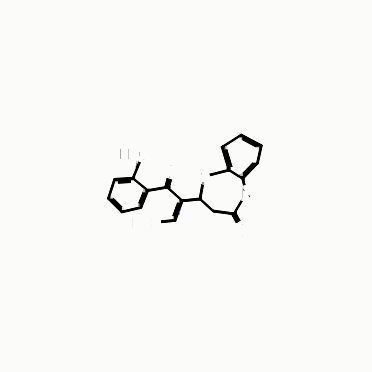 C/C=C(\C(=O)c1ccccc1C)C1CC(=O)Nc2ccccc2S1